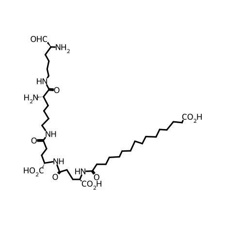 N[C@H](C=O)CCCCNC(=O)[C@@H](N)CCCCNC(=O)CC[C@H](NC(=O)CC[C@H](NC(=O)CCCCCCCCCCCCCCC(=O)O)C(=O)O)C(=O)O